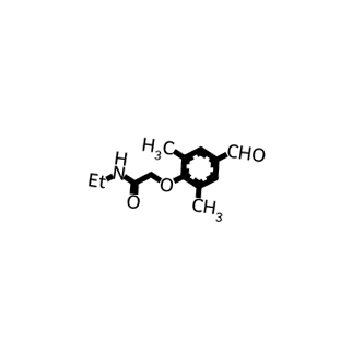 CCNC(=O)COc1c(C)cc(C=O)cc1C